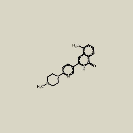 Cc1cccc2c(=O)[nH]c(-c3ccc(N4CCN(C)CC4)nc3)cc12